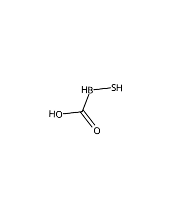 O=C(O)BS